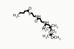 CCCCC(=O)SCCNC(=O)CCNC(=O)CC(C)(C)COC(C)(C)OC